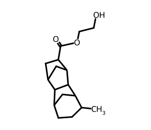 CC1CCC2CC1C1C3CC(CC3C(=O)OCCO)C21